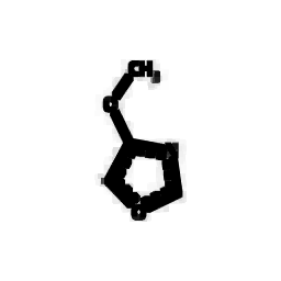 COc1[c]ocn1